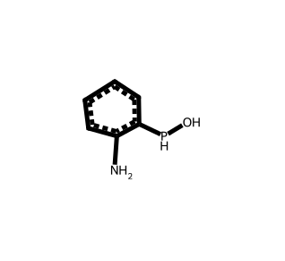 Nc1ccccc1PO